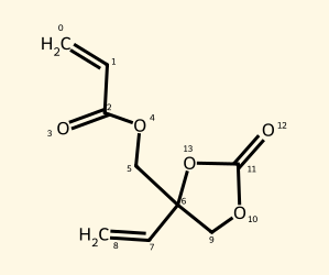 C=CC(=O)OCC1(C=C)COC(=O)O1